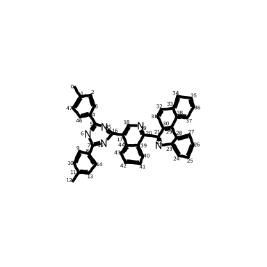 Cc1ccc(-c2nc(-c3ccc(C)cc3)nc(-c3cnc(-c4nc5ccccc5c5c4ccc4ccccc45)c4ccccc34)n2)cc1